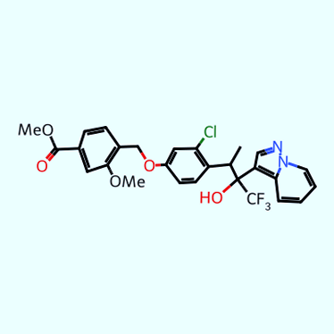 COC(=O)c1ccc(COc2ccc(C(C)C(O)(c3cnn4ccccc34)C(F)(F)F)c(Cl)c2)c(OC)c1